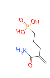 C=C(CCCP(=O)(O)O)C(N)=O